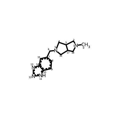 CN1CC2CN(Cc3ccc4[nH]nnc4c3)CC2C1